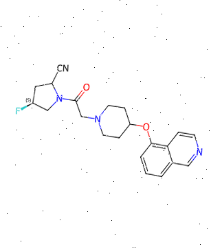 N#CC1C[C@H](F)CN1C(=O)CN1CCC(Oc2cccc3cnccc23)CC1